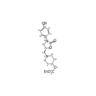 CCOC(=O)OC1CCN(C[C@H]2CN(c3ccc(C#N)cc3)C(=O)O2)CC1